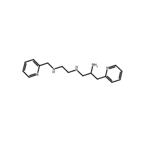 NC(CNCCNCc1ccccn1)Cc1ccccn1